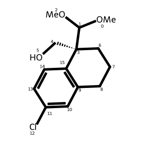 COC(OC)[C@@]1(CO)CCCc2cc(Cl)ccc21